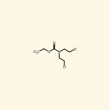 O=C(OCC(Cl)(Cl)Cl)N(CCCl)CCCl